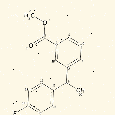 COC(=O)c1cccc(C(O)c2ccc(F)cc2)c1